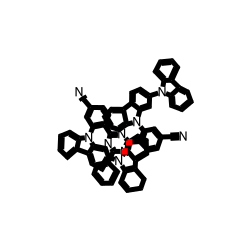 N#Cc1ccc(-c2nc(-c3ccccc3)nc(-c3ccc(C#N)cc3-n3c4ccccc4c4ccc(-n5c6ccccc6c6ccccc65)cc43)n2)c(-n2c3ccccc3c3ccc(-n4c5c(c6ccccc64)CCC=C5)cc32)c1